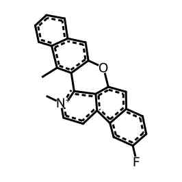 Cc1c2c(cc3ccccc13)Oc1cc3ccc(F)cc3c3cc[n+](C)c-2c13